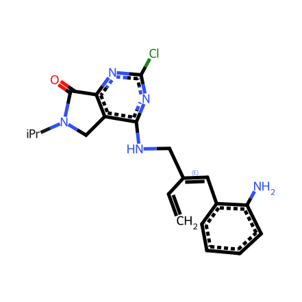 C=C/C(=C\c1ccccc1N)CNc1nc(Cl)nc2c1CN(C(C)C)C2=O